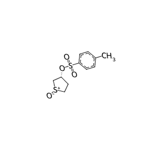 Cc1ccc(S(=O)(=O)O[C@@H]2CC[S+]([O-])C2)cc1